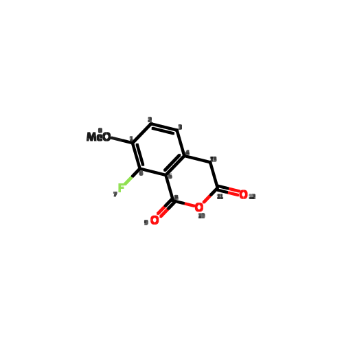 COc1ccc2c(c1F)C(=O)OC(=O)C2